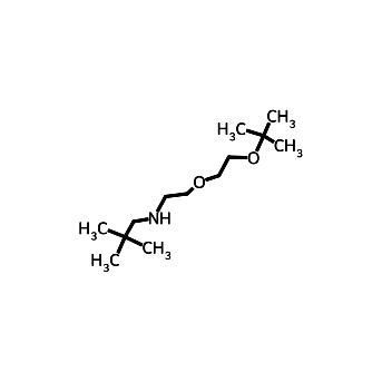 CC(C)(C)CNCCOCCOC(C)(C)C